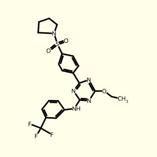 CCOc1nc(Nc2cccc(C(F)(F)F)c2)nc(-c2ccc(S(=O)(=O)N3CCCC3)cc2)n1